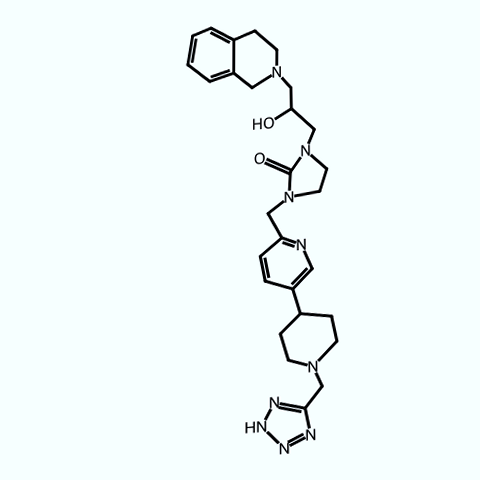 O=C1N(Cc2ccc(C3CCN(Cc4nn[nH]n4)CC3)cn2)CCN1CC(O)CN1CCc2ccccc2C1